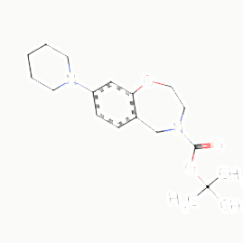 CC(C)(C)OC(=O)N1CCOc2cc(N3CCCCC3)ccc2C1